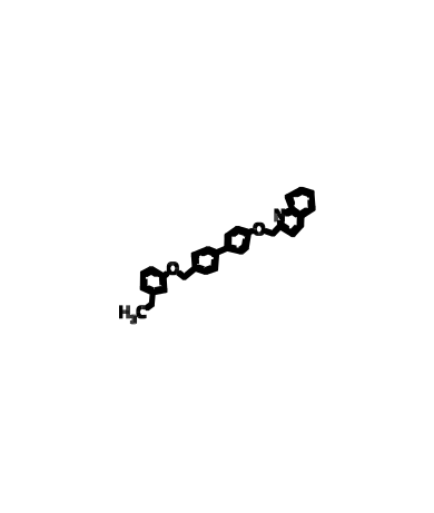 CCc1cccc(OCc2ccc(-c3ccc(OCc4ccc5ccccc5n4)cc3)cc2)c1